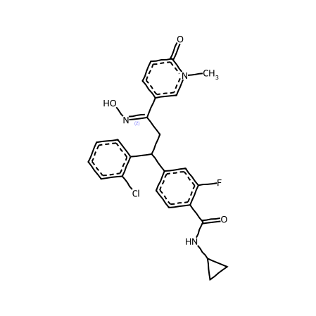 Cn1cc(/C(CC(c2ccc(C(=O)NC3CC3)c(F)c2)c2ccccc2Cl)=N\O)ccc1=O